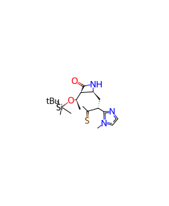 CC(=S)[C@H](C[C@@H]1NC(=O)[C@@H]1[C@@H](C)O[Si](C)(C)C(C)(C)C)c1nccn1C